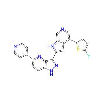 Fc1ccc(-c2cncc3[nH]c(-c4n[nH]c5ccc(-c6ccncc6)nc45)cc23)s1